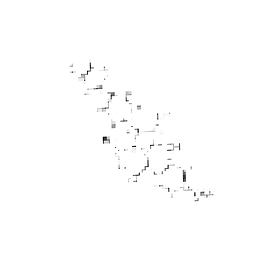 CCC(CC)C1C(C(=O)c2ccc(OC)cc2)=C(O)C(=O)N1c1ccc(-c2cc(C)no2)cc1